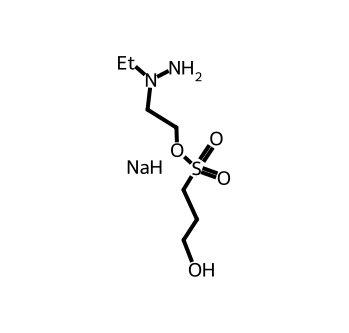 CCN(N)CCOS(=O)(=O)CCCO.[NaH]